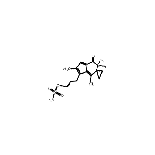 CC1=C(CCCOS(N)(=O)=O)C2=C(C)C3(CC3)[C@@](C)(O)C(=O)C2=C1